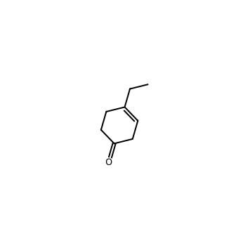 CCC1=CCC(=O)CC1